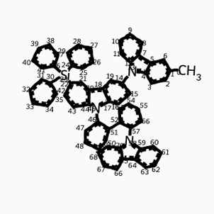 Cc1ccc2c(c1)c1ccccc1n2-c1ccc2c(c1)c1cc([Si](c3ccccc3)(c3ccccc3)c3ccccc3)ccc1n2-c1ccccc1-c1ccccc1-n1c2ccccc2c2ccccc21